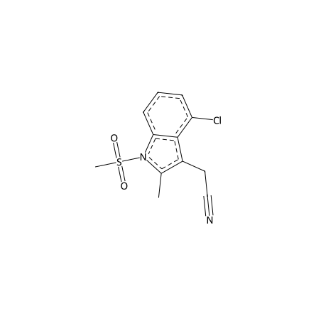 Cc1c(CC#N)c2c(Cl)cccc2n1S(C)(=O)=O